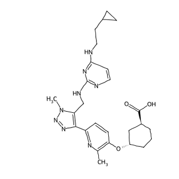 Cc1nc(-c2nnn(C)c2CNc2nccc(NCCC3CC3)n2)ccc1O[C@H]1CCC[C@H](C(=O)O)C1